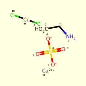 NCC(=O)O.O=S(=O)([O-])[O-].[Cl][Cu][Cl].[Cu+2]